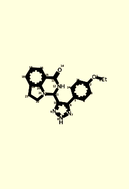 CCOc1ccc(-c2n[nH]nc2C2NC(=O)c3cccc4c3N2CC4)cc1